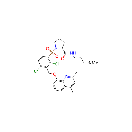 CNCCCNC(=O)[C@@H]1CCCN1S(=O)(=O)c1ccc(Cl)c(COc2cccc3c(C)cc(C)nc23)c1Cl